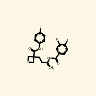 C=C(CCC1(C(=O)Nc2ccc(F)cc2)COC1)NC(=O)c1ccc(F)c(F)c1